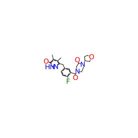 Cc1c(Cc2ccc(F)c(C(=O)N3CCN(C4CCOC4)C(=O)C3)c2)n[nH]c(=O)c1C